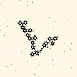 CCCc1c(OCCCOc2cc(OCc3ccccc3)c(-c3ccc(F)cc3)cc2CC)ccc2c1OC(C(=O)O)CC2.[Pd].c1ccc(P(c2ccccc2)c2ccccc2)cc1.c1ccc(P(c2ccccc2)c2ccccc2)cc1.c1ccc(P(c2ccccc2)c2ccccc2)cc1.c1ccc(P(c2ccccc2)c2ccccc2)cc1